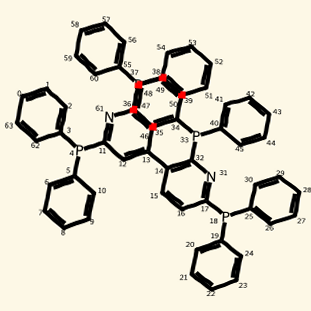 c1ccc(P(c2ccccc2)c2cc(-c3ccc(P(c4ccccc4)c4ccccc4)nc3P(c3ccccc3)c3ccccc3)cc(P(c3ccccc3)c3ccccc3)n2)cc1